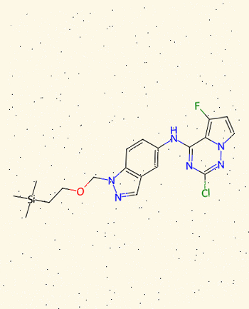 C[Si](C)(C)CCOCn1ncc2cc(Nc3nc(Cl)nn4ccc(F)c34)ccc21